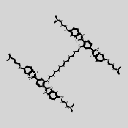 CN(C)CCCOc1ccc2nc(-c3ccc(-c4nc5ccc(OCCCN(C)C)cc5[nH]4)c(OCCCCCCCCCCCCOc4cc(-c5nc6ccc(OCCCN(C)C)cc6[nH]5)ccc4-c4nc5ccc(OCCCN(C)C)cc5[nH]4)c3)[nH]c2c1